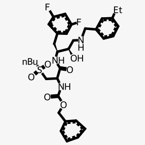 CCCCS(=O)(=O)CC(NC(=O)OCc1ccccc1)C(=O)N[C@@H](Cc1cc(F)cc(F)c1)[C@H](O)CNCc1cccc(CC)c1